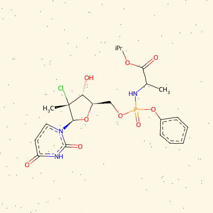 CC(C)OC(=O)C(C)NP(=O)(OC[C@H]1O[C@@H](n2ccc(=O)[nH]c2=O)[C@](C)(Cl)[C@@H]1O)Oc1ccccc1